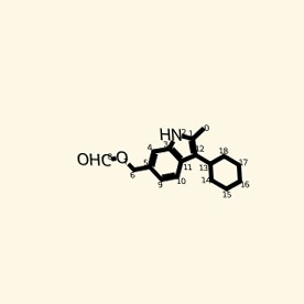 Cc1[nH]c2cc(COC=O)ccc2c1C1CCCCC1